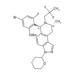 COc1cc(Br)cc(F)c1[C@@H]1c2ccc3c(cnn3C3CCCCO3)c2C[C@@H](C)N1CC(C)(F)F